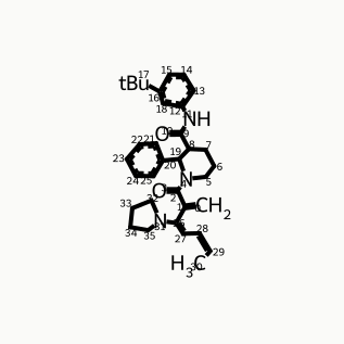 C=C(C(=O)N1CCCC(C(=O)Nc2cccc(C(C)(C)C)c2)C1c1ccccc1)/C(=C\C=C/C)N1CCCC1